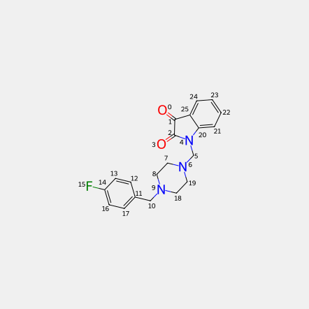 O=C1C(=O)N(CN2CCN(Cc3ccc(F)cc3)CC2)c2ccccc21